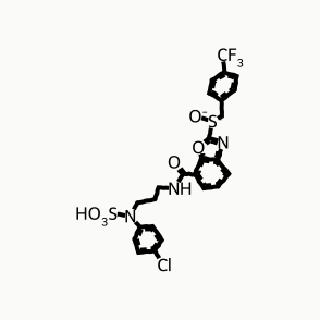 O=C(NCCCN(c1ccc(Cl)cc1)S(=O)(=O)O)c1cccc2nc([S+]([O-])Cc3ccc(C(F)(F)F)cc3)oc12